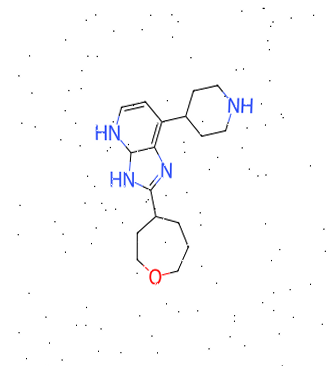 C1=CC(C2CCNCC2)=C2N=C(C3CCCOCC3)NC2N1